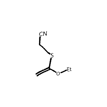 C=C(OCC)SCC#N